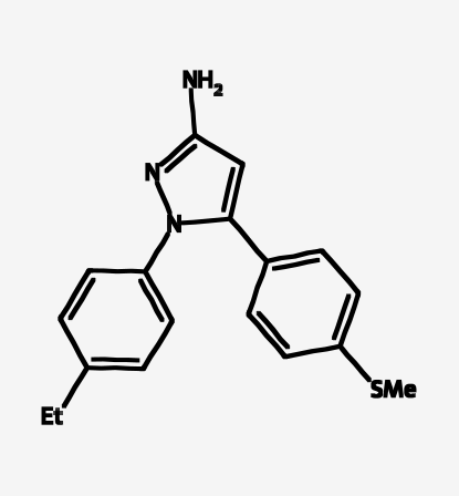 CCc1ccc(-n2nc(N)cc2-c2ccc(SC)cc2)cc1